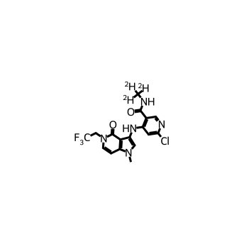 [2H]C([2H])([2H])NC(=O)c1cnc(Cl)cc1Nc1cn(C)c2ccn(CC(F)(F)F)c(=O)c12